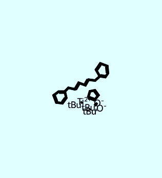 C(C=CCc1ccccc1)=CCc1ccccc1.CC(C)(C)[O-].CC(C)(C)[O-].C[C](C)(C)[Ti+2][C]1=CC=CC1